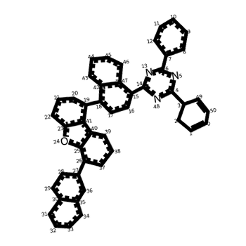 C1=CCC(c2nc(-c3ccccc3)nc(-c3ccc(-c4cccc5oc6c(-c7ccc8ccccc8c7)cccc6c45)c4ccccc34)n2)C=C1